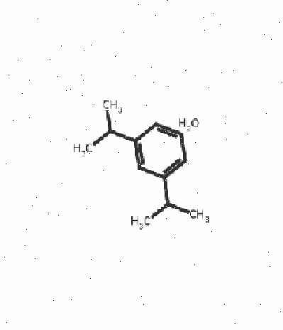 CC(C)c1cccc(C(C)C)c1.O